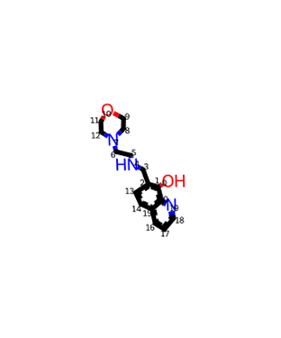 Oc1c(CNCCN2CCOCC2)ccc2cccnc12